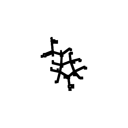 CN(C(=O)C(C)(C)C)C1(C)C(C)(C)N(C#N)C(C)(C)C1(C)C